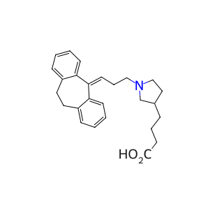 O=C(O)CCCC1CCN(CCC=C2c3ccccc3CCc3ccccc32)C1